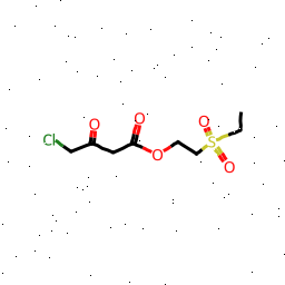 CCS(=O)(=O)CCOC(=O)CC(=O)CCl